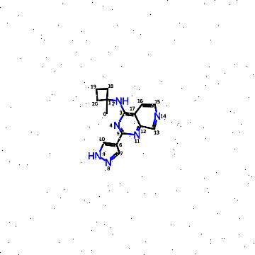 CC1(Nc2nc(-c3cn[nH]c3)nc3cnccc23)CCC1